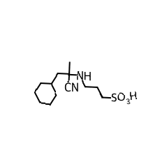 CC(C#N)(CC1CCCCC1)NCCCS(=O)(=O)O